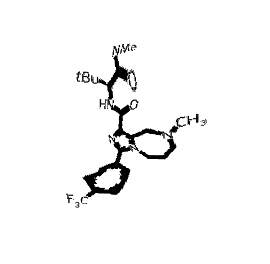 CNC(=O)[C@@H](NC(=O)c1nc(-c2ccc(C(F)(F)F)cc2)n2c1CN(C)CCC2)C(C)(C)C